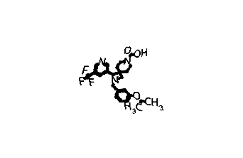 CC(C)Oc1cccc(CN2CC3(CCN(C(=O)O)CC3)C2c2cncc(C(F)(F)F)c2)c1